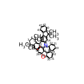 CC1(C)CCC(C)(C)c2c(-c3cc4c(cc3N(c3ccccc3)c3cccc5oc6ccccc6c35)C(C)(C)c3ccccc3-4)cccc21